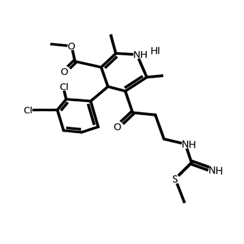 COC(=O)C1=C(C)NC(C)=C(C(=O)CCNC(=N)SC)C1c1cccc(Cl)c1Cl.I